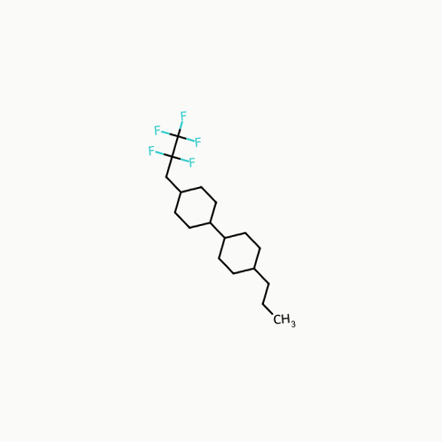 CCCC1CCC(C2CCC(CC(F)(F)C(F)(F)F)CC2)CC1